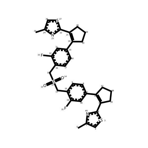 Cc1csc(C2=C(c3ccc(CS(=O)(=O)Cc4ccc(C5=C(c6nc(C)cs6)CCC5)cc4F)c(F)c3)CCC2)n1